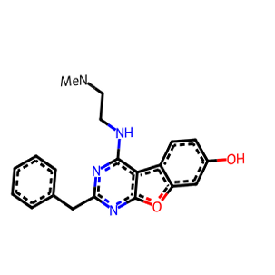 CNCCNc1nc(Cc2ccccc2)nc2oc3cc(O)ccc3c12